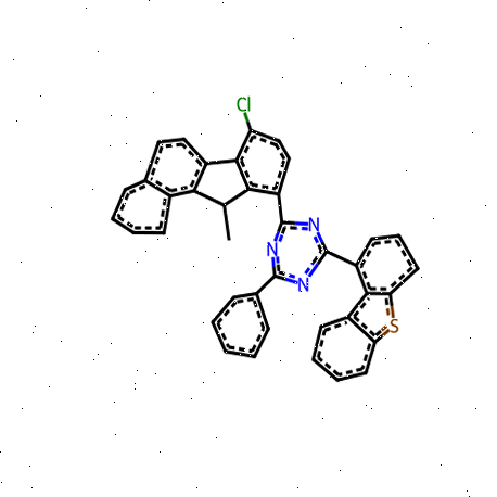 CC1c2c(-c3nc(-c4ccccc4)nc(-c4cccc5sc6ccccc6c45)n3)ccc(Cl)c2-c2ccc3ccccc3c21